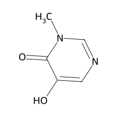 Cn1cncc(O)c1=O